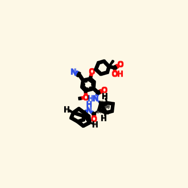 COc1cc(C#N)c(O[C@H]2CC[C@@](C)(C(=O)O)CC2)cc1C(=O)N[C@@H]1[C@H]2CC[C@H](C2)[C@@H]1C(=O)NC12CC3C[C@H](C1)C[C@H](C3)C2